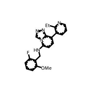 CCc1ncccc1-c1ccc(NCc2c(F)cccc2OC)n2cnnc12